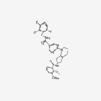 COc1cccc(C(=O)NC2CC3CCCN(c4ccc(C(=O)NCc5c(F)ccc(F)c5Cl)cn4)C3C2)c1C